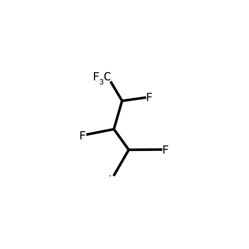 [CH2]C(F)C(F)C(F)C(F)(F)F